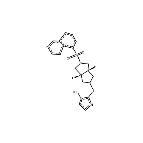 Cn1ccnc1SC1C[C@@H]2CN(S(=O)(=O)c3cccc4cnccc34)C[C@@H]2C1